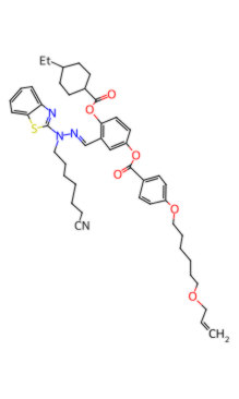 C=CCOCCCCCCOc1ccc(C(=O)Oc2ccc(OC(=O)C3CCC(CC)CC3)c(/C=N/N(CCCCCCC#N)c3nc4ccccc4s3)c2)cc1